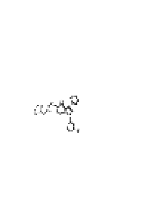 O=c1[nH]c2c(cc1CNCC1CCCO1)c(-c1cccc(F)c1)nn2-c1ccccc1